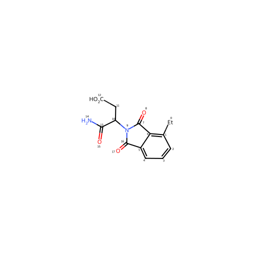 CCc1cccc2c1C(=O)N(C(CC(=O)O)C(N)=O)C2=O